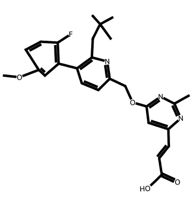 COc1ccc(F)c(-c2ccc(COc3cc(C=CC(=O)O)nc(C)n3)nc2CC(C)(C)C)c1